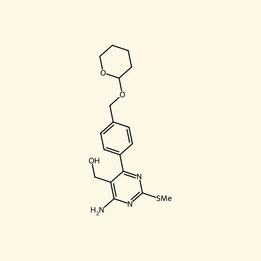 CSc1nc(N)c(CO)c(-c2ccc(COC3CCCCO3)cc2)n1